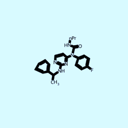 CCCNC(=O)N(c1ccc(F)cc1)c1ccnc(NC(C)c2ccccc2)n1